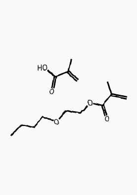 C=C(C)C(=O)O.C=C(C)C(=O)OCCOCCCC